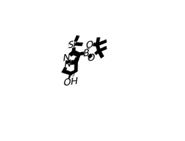 CC1(C)OB(c2c([Si](C)(C)C)nn3c2C[C@@H](O)C3)OC1(C)C